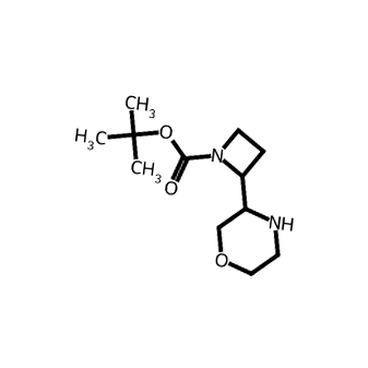 CC(C)(C)OC(=O)N1CCC1C1COCCN1